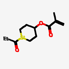 C=C(C)C(=O)OC1CC[S+](C(=O)CC)CC1